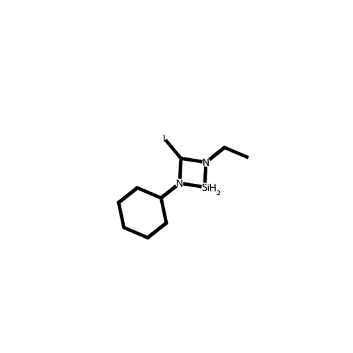 CCN1[SiH2]N(C2CCCCC2)C1I